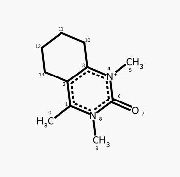 Cc1c2c([n+](C)c(=O)n1C)CCCC2